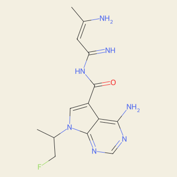 C/C(N)=C/C(=N)NC(=O)c1cn(C(C)CF)c2ncnc(N)c12